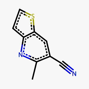 Cc1nc2ccsc2cc1C#N